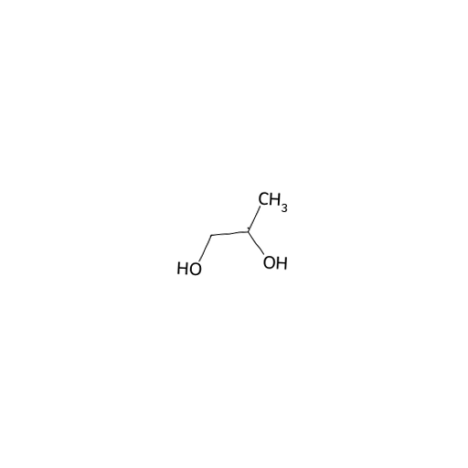 C[C](O)CO